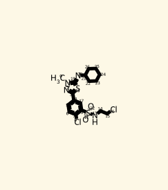 Cn1nc(-c2ccc(Cl)c(S(=O)(=O)NCCCl)c2)sc1=NC1CCCCC1